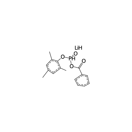 Cc1cc(C)c(O[PH](=O)OC(=O)c2ccccc2)c(C)c1.[LiH]